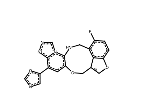 Fc1ccc2c3c1CNc1c(cc(-c4cnco4)c4nncn14)OC[C@@H]3CO2